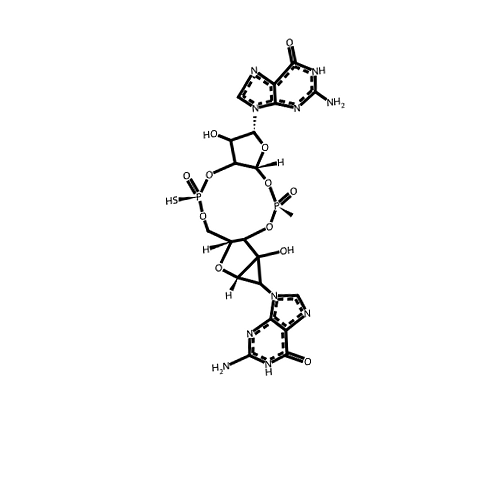 C[P@@]1(=O)OC2[C@@H](CO[P@@](=O)(S)OC3C(O)[C@H](n4cnc5c(=O)[nH]c(N)nc54)O[C@@H]3O1)O[C@H]1C(n3cnc4c(=O)[nH]c(N)nc43)C21O